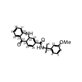 COc1cccc(C(C)(C)NC(=O)C2=CC3Nc4ccccc4C(=O)C3C=C2)c1